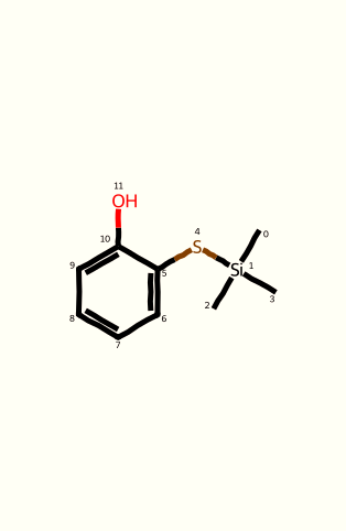 C[Si](C)(C)Sc1ccccc1O